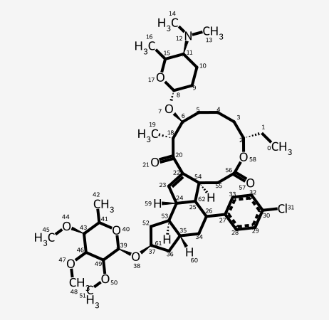 CC[C@H]1CCC[C@H](O[C@H]2CC[C@H](N(C)C)C(C)O2)[C@@H](C)C(=O)C2=C[C@@H]3C(C(c4ccc(Cl)cc4)C[C@@H]4C[C@@H](O[C@@H]5OC(C)[C@H](OC)C(OC)C5OC)C[C@H]43)[C@@H]2CC(=O)O1